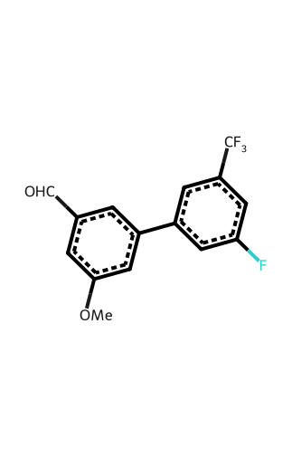 COc1cc(C=O)cc(-c2cc(F)cc(C(F)(F)F)c2)c1